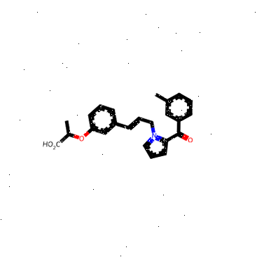 Cc1cccc(C(=O)c2cccn2C/C=C/c2cccc(OC(C)C(=O)O)c2)c1